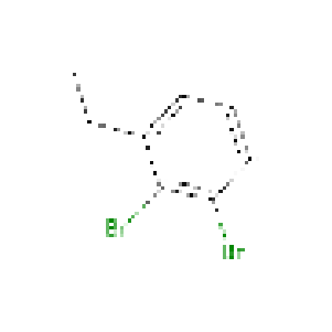 CCc1cc[c]c(Br)c1Br